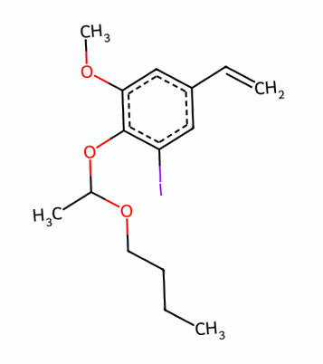 C=Cc1cc(I)c(OC(C)OCCCC)c(OC)c1